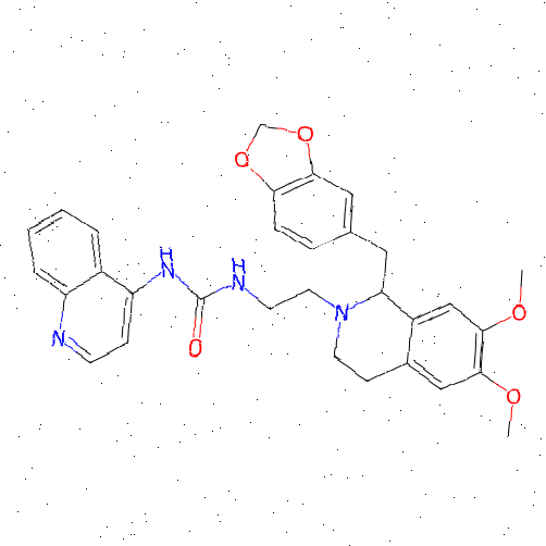 COc1cc2c(cc1OC)C(Cc1ccc3c(c1)OCO3)N(CCNC(=O)Nc1ccnc3ccccc13)CC2